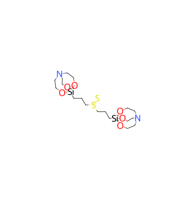 S=S(CCC[Si]12OCCN(CCO1)CCO2)CCC[Si]12OCCN(CCO1)CCO2